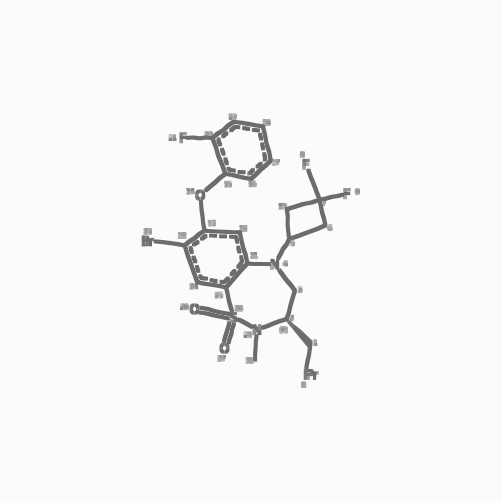 CC(C)C[C@@H]1CN(C2CC(F)(F)C2)c2cc(Oc3ccccc3F)c(Br)cc2S(=O)(=O)N1C